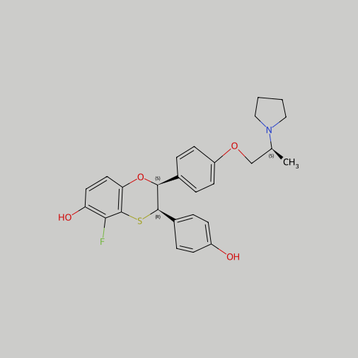 C[C@@H](COc1ccc([C@@H]2Oc3ccc(O)c(F)c3S[C@@H]2c2ccc(O)cc2)cc1)N1CCCC1